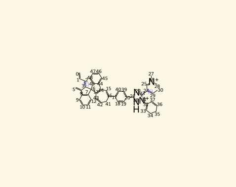 C=C/C=C(\C=C)C1(c2ccccc2)C2=C(C=C(c3ccc(-c4nc(/C(C=[N+](C)C)=C/C)[n+](C5=CCCC=C5)[nH]4)cc3)CC=C2)c2ccccc21